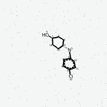 O[C@H]1CC[C@H]([N]c2ccc(Cl)cc2)CC1